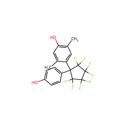 Cc1cc(C2(c3ccc(O)cc3)C(F)(F)C(F)(F)C(F)(F)C2(F)F)c(C)cc1O